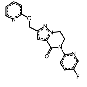 O=C1c2cc(COc3ccccn3)nn2CCN1c1ccc(F)cn1